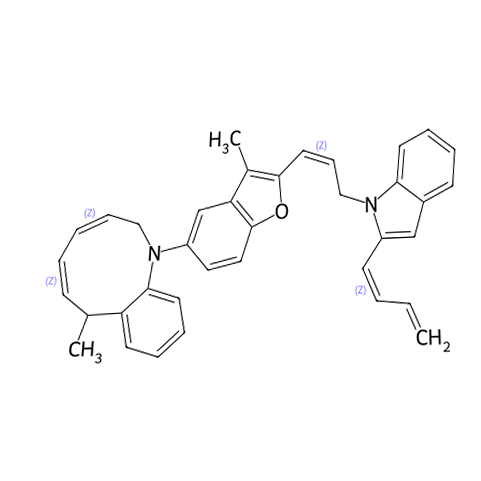 C=C/C=C\c1cc2ccccc2n1C/C=C\c1oc2ccc(N3C/C=C\C=C/C(C)c4ccccc43)cc2c1C